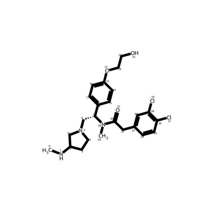 CNC1CCN(C[C@H](c2ccc(OCCO)cc2)N(C)C(=O)Cc2ccc(Cl)c(Cl)c2)C1